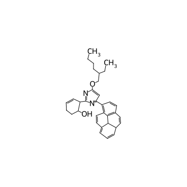 CCCCC(CC)COc1cc(-c2ccc3c4c2C=CC2=CC=CC(C=C3)C24)nc(C2C=CCCC2O)n1